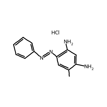 Cc1cc(N=Nc2ccccc2)c(N)cc1N.Cl